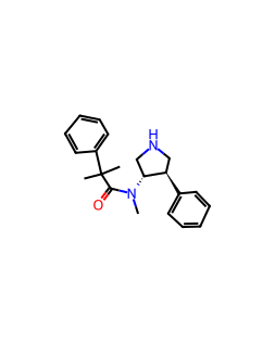 CN(C(=O)C(C)(C)c1ccccc1)[C@@H]1CNC[C@H]1c1ccccc1